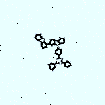 c1ccc(C2=NC(c3ccc(-n4c5ccccc5c5ccc(-c6cccc7c6sc6ccccc67)cc54)cc3)=NC(c3ccccc3)N2)cc1